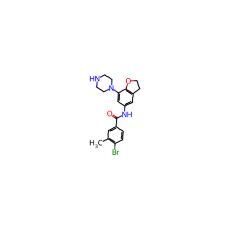 Cc1cc(C(=O)Nc2cc3c(c(N4CCNCC4)c2)OCC3)ccc1Br